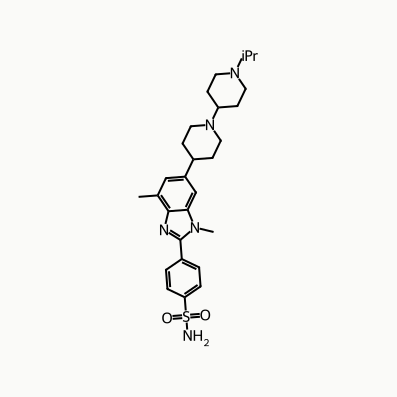 Cc1cc(C2CCN(C3CCN(C(C)C)CC3)CC2)cc2c1nc(-c1ccc(S(N)(=O)=O)cc1)n2C